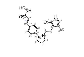 CCc1n[nH]c(CC)c1CCN1CCC[C@H]1c1ccc(/C=C/C(=O)NO)cc1